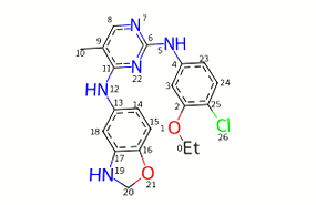 CCOc1cc(Nc2ncc(C)c(Nc3ccc4c(c3)NCO4)n2)ccc1Cl